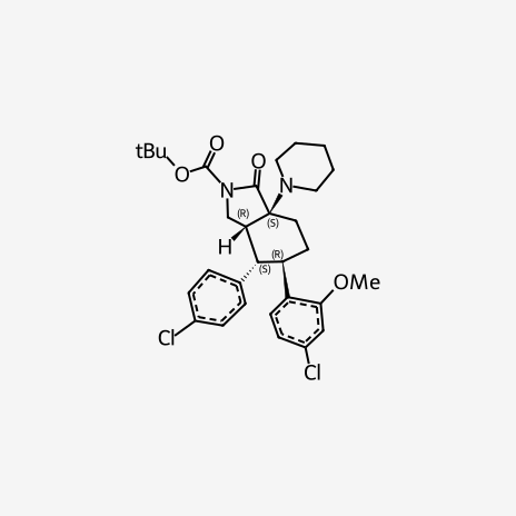 COc1cc(Cl)ccc1[C@@H]1CC[C@@]2(N3CCCCC3)C(=O)N(C(=O)OC(C)(C)C)C[C@H]2[C@H]1c1ccc(Cl)cc1